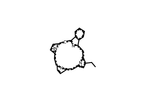 CCc1cc2cc3nc(cc4ccc(cc5nc(cc1[nH]2)-c1ccccc1-5)[nH]4)C=C3